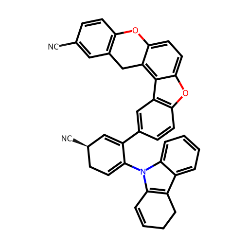 N#Cc1ccc2c(c1)Cc1c(ccc3oc4ccc(C5=C[C@H](C#N)CC=C5n5c6c(c7ccccc75)CCC=C6)cc4c13)O2